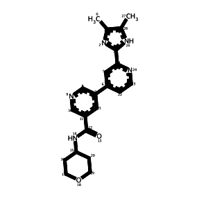 Cc1nc(-c2cc(-c3cncc(C(=O)NC4CCOCC4)c3)ccn2)[nH]c1C